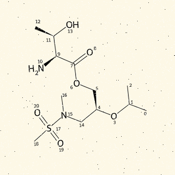 CC(C)O[C@H](COC(=O)[C@@H](N)[C@@H](C)O)CN(C)S(C)(=O)=O